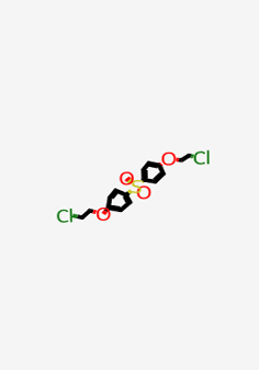 O=S(=O)(c1ccc(OCCCl)cc1)c1ccc(OCCCl)cc1